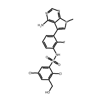 Cn1cc(-c2cccc(NS(=O)(=O)c3cc(Cl)cc(CO)c3Cl)c2F)c2c(N)ncnc21